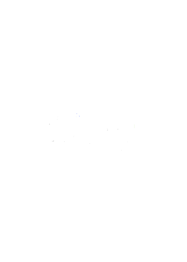 FC(F)(F)c1ccc(C[SH]2C=Nc3cc(Cl)ccc32)cc1